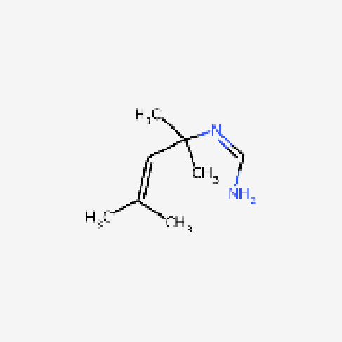 CC(C)=CC(C)(C)/N=C\N